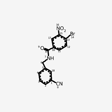 N#Cc1cccc(CNC(=O)c2ccc(Br)c([N+](=O)[O-])c2)c1